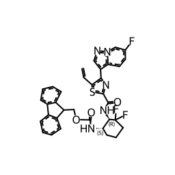 C=Cc1sc(C(=O)N[C@@H]2[C@@H](NC(=O)OCC3c4ccccc4-c4ccccc43)CCCC2(F)F)nc1-c1cnn2cc(F)ccc12